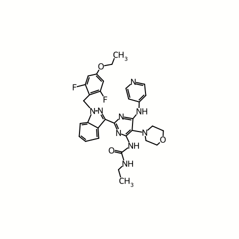 CCNC(=O)Nc1nc(-c2nn(Cc3c(F)cc(OCC)cc3F)c3ccccc23)nc(Nc2ccncc2)c1N1CCOCC1